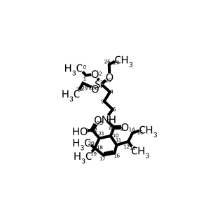 CCO[Si](CCCNC(=O)C1C(C(C)CC)C=CC(C)(C)C1C(=O)O)(OCC)OCC